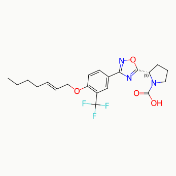 CCCCC=CCOc1ccc(-c2noc([C@@H]3CCCN3C(=O)O)n2)cc1C(F)(F)F